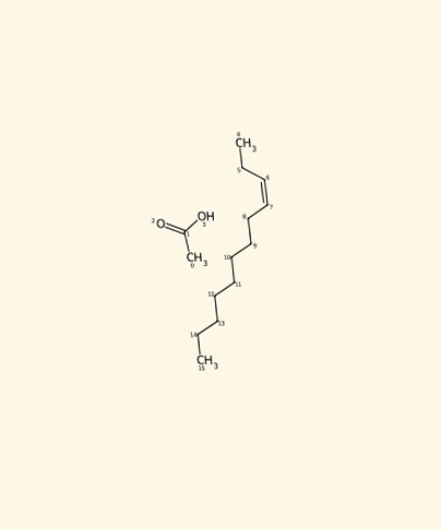 CC(=O)O.CC/C=C\CCCCCCCC